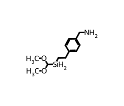 COC(OC)[SiH2]CCc1ccc(CN)cc1